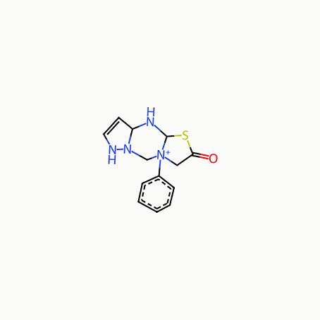 O=C1C[N+]2(c3ccccc3)CN3NC=CC3NC2S1